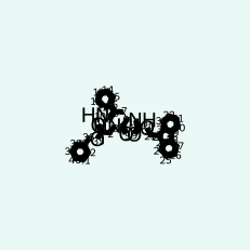 O=C(CNC(=O)[C@H](Cc1c[nH]c2ccccc12)NC(=O)OCC1c2ccccc2-c2ccccc21)OCc1ccccc1